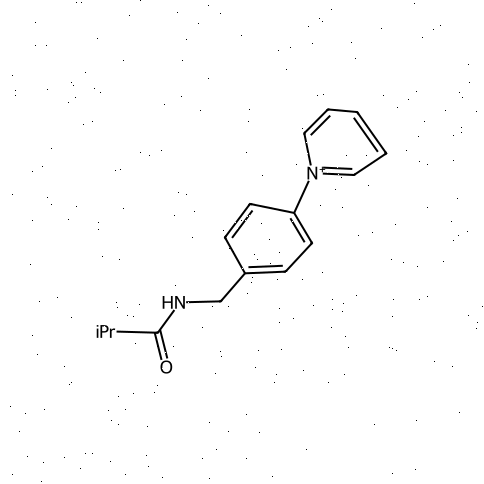 CC(C)C(=O)NCc1ccc(-[n+]2ccccc2)cc1